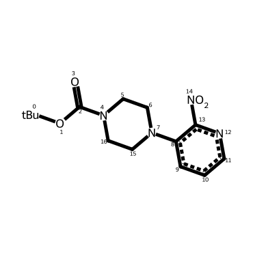 CC(C)(C)OC(=O)N1CCN(c2cccnc2[N+](=O)[O-])CC1